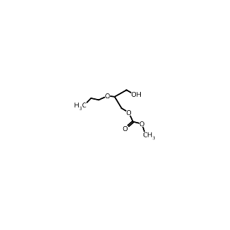 CCCOC(CO)COC(=O)OC